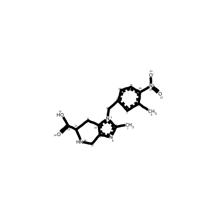 Cc1cc(Cn2c(C)nc3c2CC(C(=O)O)NC3)ccc1[N+](=O)[O-]